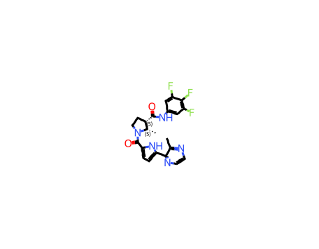 Cc1nccnc1-c1ccc(C(=O)N2CC[C@H](C(=O)Nc3cc(F)c(F)c(F)c3)[C@@H]2C)[nH]1